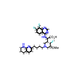 CO[C@H](CF)CN(CCCCc1ccc2c(n1)NCCC2)CCC(Nc1ncnc2c(F)c(F)ccc12)C(=O)O